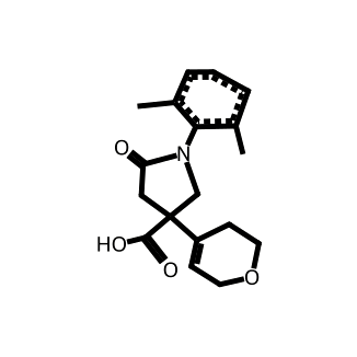 Cc1cccc(C)c1N1CC(C(=O)O)(C2=CCOCC2)CC1=O